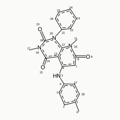 Cc1ccc(Nc2cc(=O)n(C)c3c2c(=O)n(C)c(=O)n3-c2ccccc2)cc1